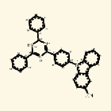 N#Cc1ccc2c(c1)c1ccccc1n2-c1ccc(C2=NC(c3ccccc3)NC(c3ccccc3)=N2)cc1